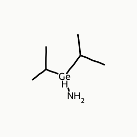 C[CH](C)[GeH]([NH2])[CH](C)C